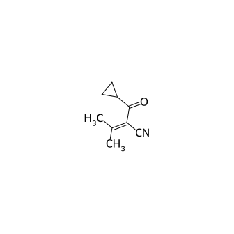 CC(C)=C(C#N)C(=O)C1CC1